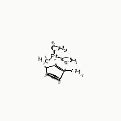 CC1=C[CH]C=C1.[CH3][Pt]([CH3])[CH3]